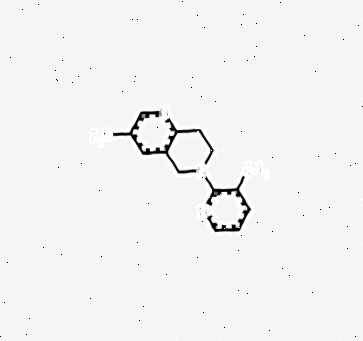 Cc1cccnc1N1CCc2ncc(C(F)(F)F)cc2C1